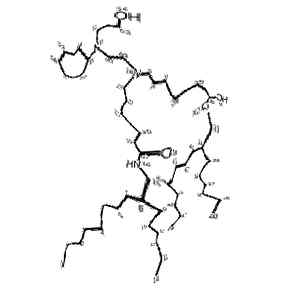 CCCCCCCCC(CCCCCC)CNC(=O)CCCCCN(CCCCCC(O)OCC(CCCCCC)CCCCCCCC)CCN(CCO)C1CCCCC1